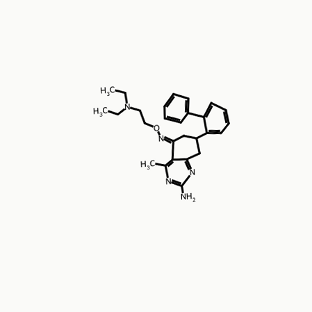 CCN(CC)CCON=C1CC(c2ccccc2-c2ccccc2)Cc2nc(N)nc(C)c21